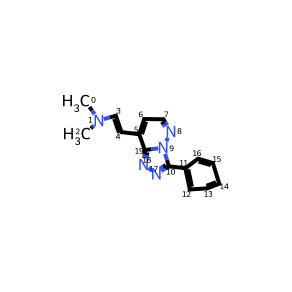 CN(C)C=Cc1ccnn2c(-c3ccccc3)nnc12